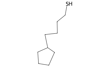 SCCCCC1CCCC1